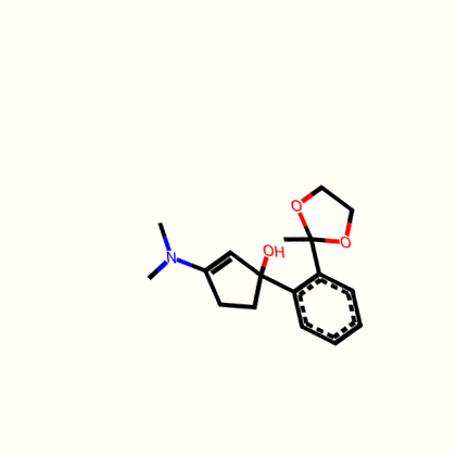 CN(C)C1=CC(O)(c2ccccc2C2(C)OCCO2)CC1